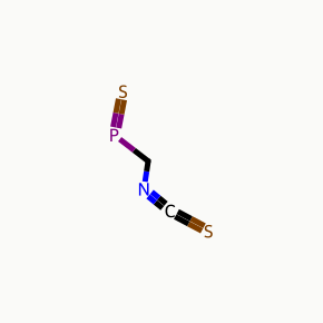 S=C=NCP=S